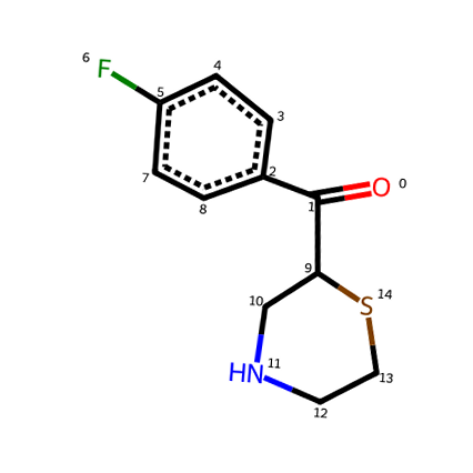 O=C(c1ccc(F)cc1)C1CNCCS1